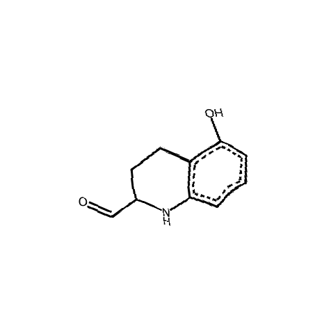 O=CC1CCc2c(O)cccc2N1